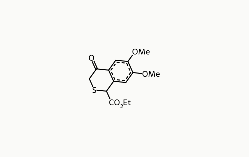 CCOC(=O)C1SCC(=O)c2cc(OC)c(OC)cc21